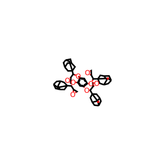 c1c(OC(C2CO2)C23CC4CC(CC(C4)C2)C3)c(OC(C2CO2)C23CC4CC(CC(C4)C2)C3)cc(OC(C2CO2)C23CC4CC(CC(C4)C2)C3)c1OC(C1CO1)C12CC3CC(CC(C3)C1)C2